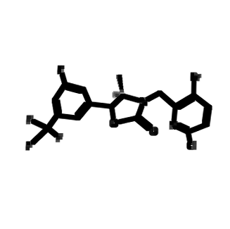 C[C@H]1C(c2cc(F)cc(C(F)(F)F)c2)OC(=O)N1Cc1nc(Cl)ccc1Br